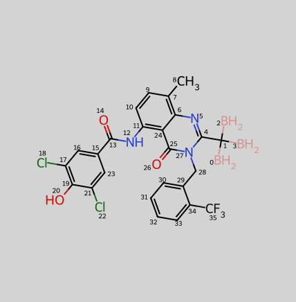 BC(B)(B)c1nc2c(C)ccc(NC(=O)c3cc(Cl)c(O)c(Cl)c3)c2c(=O)n1Cc1ccccc1C(F)(F)F